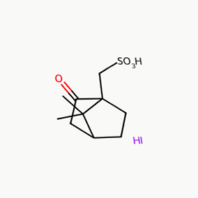 CC1(C)C2CCC1(CS(=O)(=O)O)C(=O)C2.I